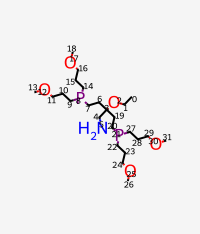 CCOC(CN)(CCP(CCCOC)CCCOC)CCP(CCCOC)CCCOC